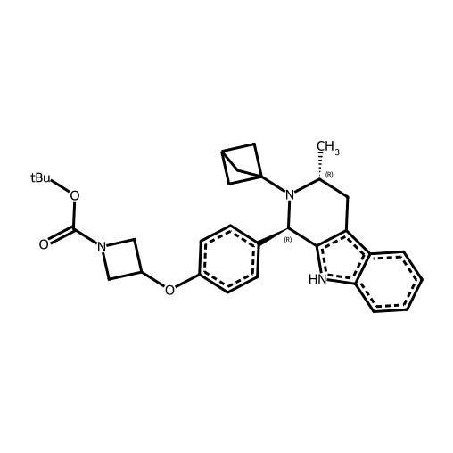 C[C@@H]1Cc2c([nH]c3ccccc23)[C@@H](c2ccc(OC3CN(C(=O)OC(C)(C)C)C3)cc2)N1C12CC(C1)C2